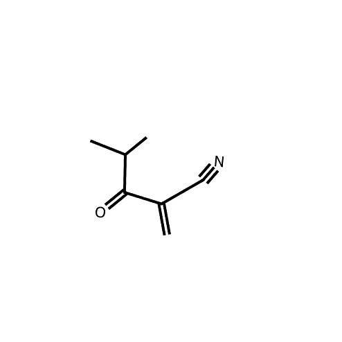 C=C(C#N)C(=O)C(C)C